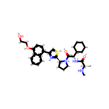 CN[C@@H](C)C(=O)N[C@H](C(=O)N1CCC[C@H]1c1nc(-c2ccc(OCCO)c3ccccc23)cs1)C1CCCCC1